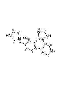 [O-][N+]1(Cc2ccc(-c3ccncc3-c3nnn[nH]3)cc2)C=CNC1